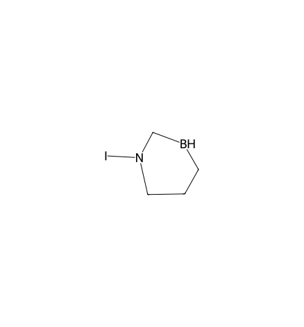 IN1CBCCC1